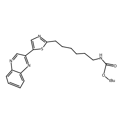 CC(C)(C)OC(=O)NCCCCCCc1ncc(-c2cnc3ccccc3n2)s1